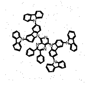 c1ccc(-c2nc3c(-n4c5ccc(-n6c7ccccc7c7ccccc76)cc5c5cc(-n6c7ccccc7c7ccccc76)ccc54)cnc(-n4c5ccc(-n6c7ccccc7c7ccccc76)cc5c5cc(-n6c7ccccc7c7ccccc76)ccc54)c3nc2-c2ccccc2)cc1